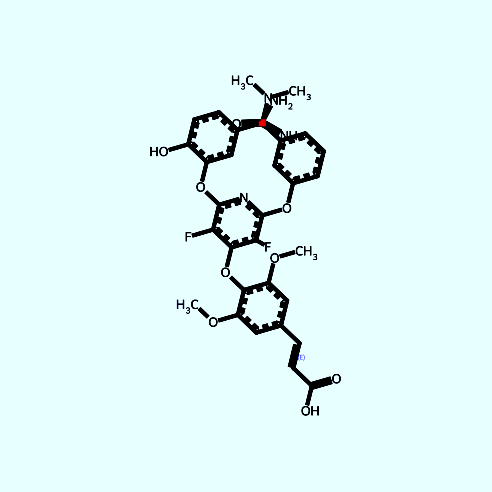 COc1cc(/C=C/C(=O)O)cc(OC)c1Oc1c(F)c(Oc2cccc(C(=O)N(C)C)c2)nc(Oc2cc(C(=N)N)ccc2O)c1F